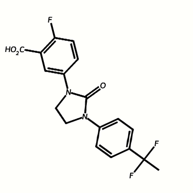 CC(F)(F)c1ccc(N2CCN(c3ccc(F)c(C(=O)O)c3)C2=O)cc1